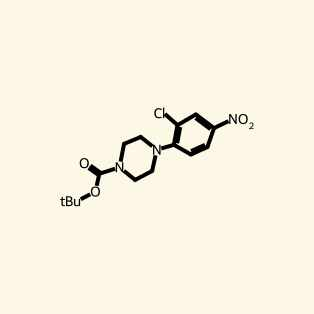 CC(C)(C)OC(=O)N1CCN(c2ccc([N+](=O)[O-])cc2Cl)CC1